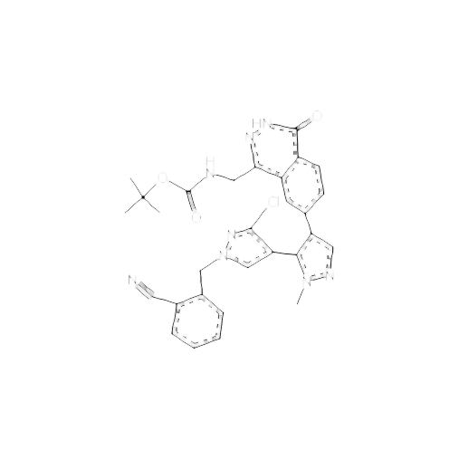 Cn1ncc(-c2ccc3c(=O)[nH]nc(CNC(=O)OC(C)(C)C)c3c2)c1-c1cn(Cc2ccccc2C#N)nc1Cl